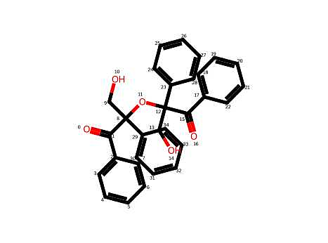 O=C(c1ccccc1)C(CO)(OC(CO)(C(=O)c1ccccc1)c1ccccc1)c1ccccc1